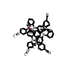 [C-]#[N+]c1ccc(N2c3ccccc3N(c3ccc(C#N)cc3)P2(=O)c2cc(P3(=O)N(c4ccc(C#N)cc4)c4ccccc4N3c3ccc([N+]#[C-])cc3)cc(P3(=O)N(c4ccc([N+]#[C-])cc4)c4ccc([N+]#[C-])cc4N3c3ccc(C#N)cc3)c2)cc1